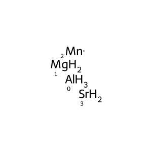 [AlH3].[MgH2].[Mn].[SrH2]